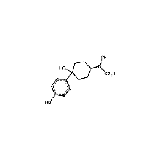 CN(C(=O)O)C1CCC(O)(c2ccc(O)cn2)CC1